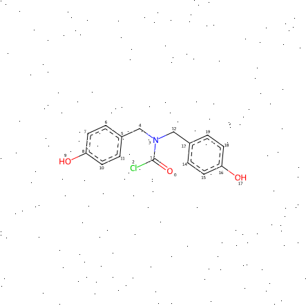 O=C(Cl)N(Cc1ccc(O)cc1)Cc1ccc(O)cc1